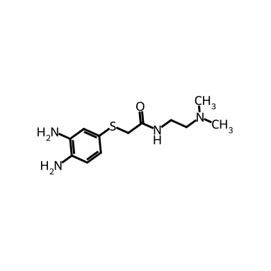 CN(C)CCNC(=O)CSc1ccc(N)c(N)c1